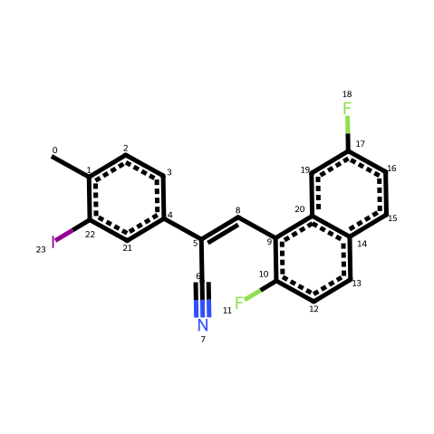 Cc1ccc(C(C#N)=Cc2c(F)ccc3ccc(F)cc23)cc1I